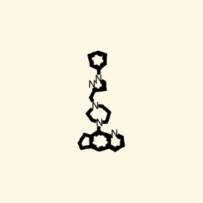 c1ccc(-n2ccc(CN3CCCN(c4c5c(cc6cccnc46)CCC5)CC3)n2)cc1